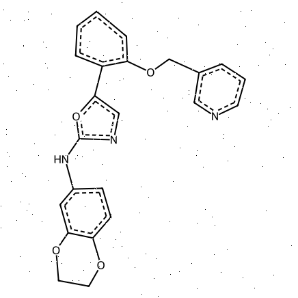 c1cncc(COc2ccccc2-c2cnc(Nc3ccc4c(c3)OCCO4)o2)c1